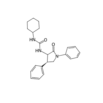 O=C(NC1CCCCC1)NC1C(=O)N(c2ccccc2)C[C@H]1c1ccccc1